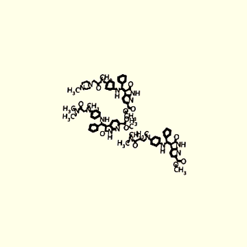 CCN(C)C(=O)CN(C)c1ccc(NC(=C2C(=O)Nc3nc(C(=O)OC)ccc32)c2ccccc2)cc1.COC(=O)c1ccc2c(n1)NC(=O)C2=C(Nc1ccc(N(C)C(=O)CN2CCN(C)CC2)cc1)c1ccccc1.COC(=O)c1ccc2c(n1)NC(=O)C2=C(Nc1ccc(N(C)CCC(=O)N(C)C)cc1)c1ccccc1